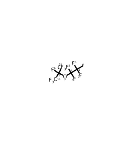 CC(F)(F)C(F)(F)OC(F)(C(F)(F)F)C(F)(F)F